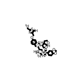 [2H]Cc1nc(COc2ccc(C[C@@H]([C@H](O)CN(C([2H])([2H])C(C)C)S(=O)(=O)c3ccc4c(c3)OCO4)N(C(=O)O)[C@H]3CO[C@H]4OCC[C@H]43)cc2)c([2H])s1